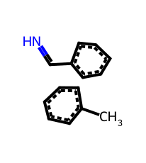 Cc1ccccc1.N=Cc1ccccc1